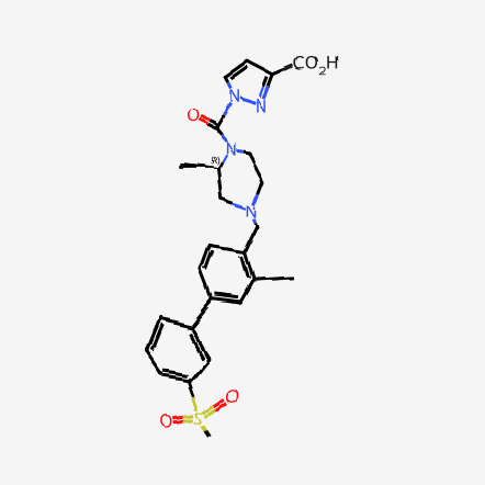 Cc1cc(-c2cccc(S(C)(=O)=O)c2)ccc1CN1CCN(C(=O)n2ccc(C(=O)O)n2)[C@H](C)C1